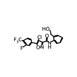 O=C(Nc1ccccc1CCO)c1noc(-c2ccc(C(F)(F)F)c(F)c2)c1Cl